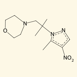 Cc1c([N+](=O)[O-])cnn1C(C)(C)CN1CCOCC1